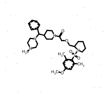 COc1cc(C)c(S(=O)(=O)N2CCCCC2COCC(=O)N2CCC(C(c3ccccc3)N3CCN(C)CC3)CC2)c(C)c1